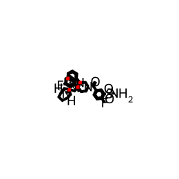 Cc1nc2ccccc2n1[C@H]1C[C@H]2CC[C@@H](C1)N2CCC1(c2cccc(F)c2)CCN(C(=O)c2ccc(F)c(S(N)(=O)=O)c2)CC1